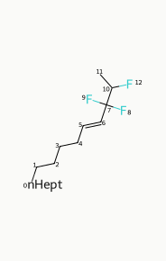 CCCCCCCCCCCC=CC(F)(F)C(C)F